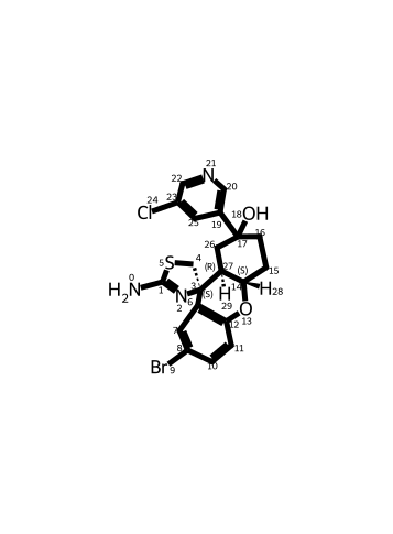 NC1=N[C@]2(CS1)c1cc(Br)ccc1O[C@H]1CCC(O)(c3cncc(Cl)c3)C[C@@H]12